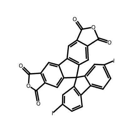 O=C1OC(=O)c2cc3c(cc21)-c1cc2c(cc1C31c3cc(I)ccc3-c3ccc(I)cc31)C(=O)OC2=O